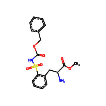 COC(=O)C(N)Cc1ccccc1S(=O)(=O)NC(=O)OCc1ccccc1